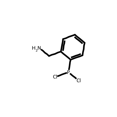 NCc1ccccc1P(Cl)Cl